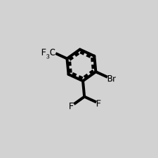 FC(F)c1cc(C(F)(F)F)ccc1Br